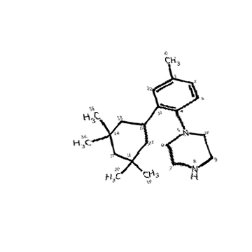 Cc1ccc(N2CCNCC2)c(C2CC(C)(C)CC(C)(C)C2)c1